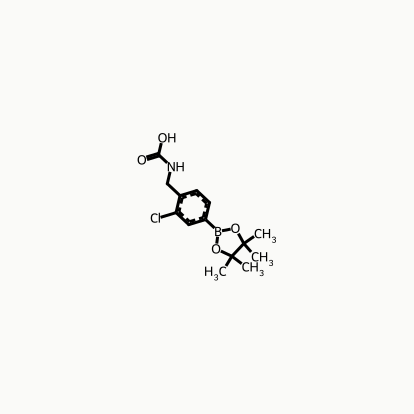 CC1(C)OB(c2ccc(CNC(=O)O)c(Cl)c2)OC1(C)C